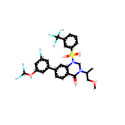 COCC(C)N1CN(S(=O)(=O)c2cccc(C(F)(F)F)c2)c2cc(-c3cc(F)cc(OC(F)F)c3)ccc2C1=O